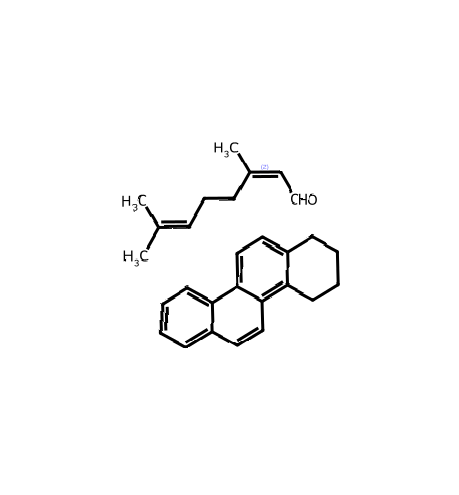 CC(C)=CCC/C(C)=C\C=O.c1ccc2c(c1)ccc1c3c(ccc12)CCCC3